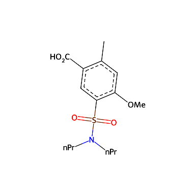 CCCN(CCC)S(=O)(=O)c1cc(C(=O)O)c(C)cc1OC